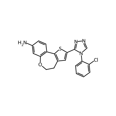 Nc1ccc2c(c1)OCCc1cc(-c3nncn3-c3ccccc3Cl)sc1-2